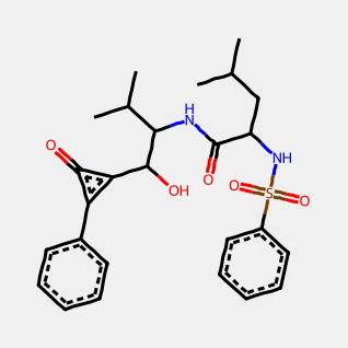 CC(C)CC(NS(=O)(=O)c1ccccc1)C(=O)NC(C(C)C)C(O)c1c(-c2ccccc2)c1=O